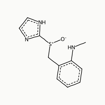 CNc1ccccc1C[S+]([O-])c1ncc[nH]1